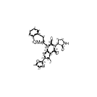 COc1ccccc1CCn1c(=O)n(C2CCNC2=O)c(=O)c2c(C)c(-c3ncco3)sc21